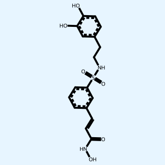 O=C(/C=C/c1cccc(S(=O)(=O)NCCc2ccc(O)c(O)c2)c1)NO